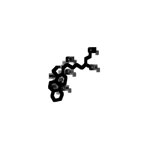 CCCC(C)CCC[C@@H](C)[C@H]1CC[C@H]2[C@@H]3CCC4CCCC[C@]4(C)[C@H]3CC[C@]12C